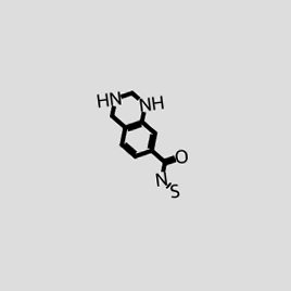 O=C(N=S)c1ccc2c(c1)NCNC2